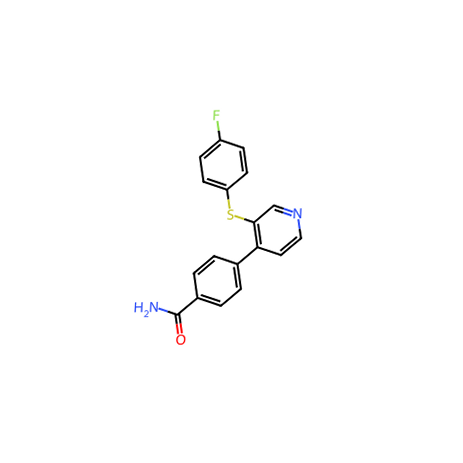 NC(=O)c1ccc(-c2ccncc2Sc2ccc(F)cc2)cc1